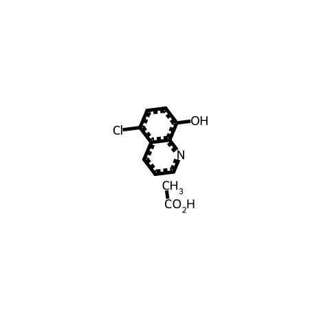 CC(=O)O.Oc1ccc(Cl)c2cccnc12